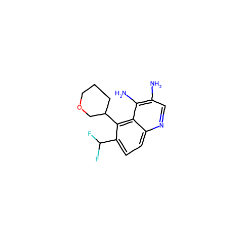 Nc1cnc2ccc(C(F)F)c(C3CCCOC3)c2c1N